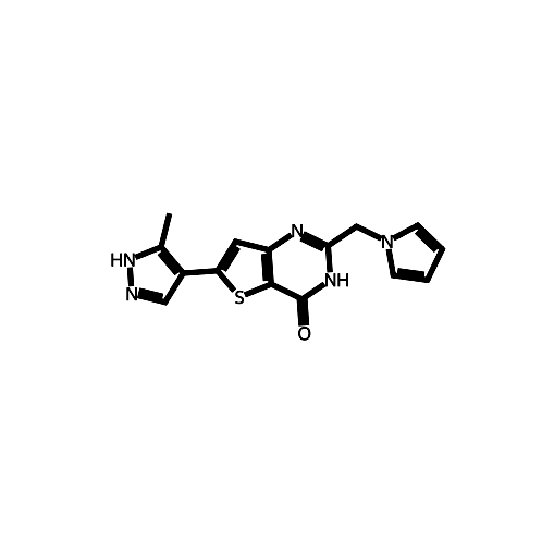 Cc1[nH]ncc1-c1cc2nc(Cn3cccc3)[nH]c(=O)c2s1